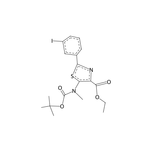 CCOC(=O)c1nc(-c2cccc(I)c2)sc1N(C)C(=O)OC(C)(C)C